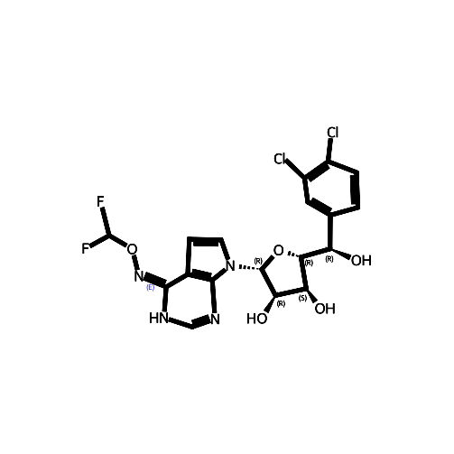 O[C@@H]1[C@H](O)[C@@H]([C@H](O)c2ccc(Cl)c(Cl)c2)O[C@H]1n1ccc2/c(=N\OC(F)F)[nH]cnc21